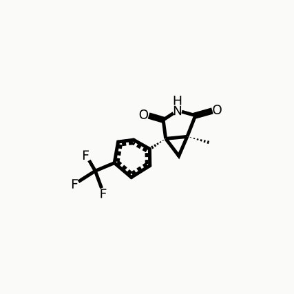 C[C@]12C[C@@]1(c1ccc(C(F)(F)F)cc1)C(=O)NC2=O